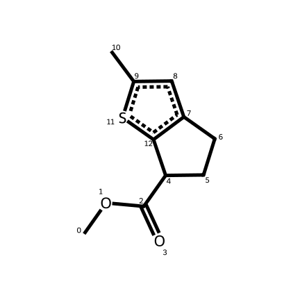 COC(=O)C1CCc2cc(C)sc21